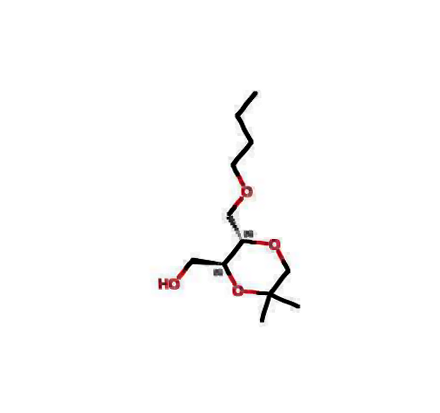 CCCCOC[C@@H]1OCC(C)(C)O[C@H]1CO